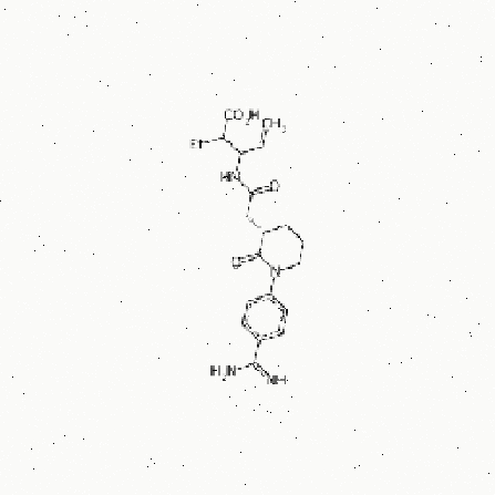 C=CC(NC(=O)C[C@@H]1CCCN(c2ccc(C(=N)N)cc2)C1=O)C(CC)C(=O)O